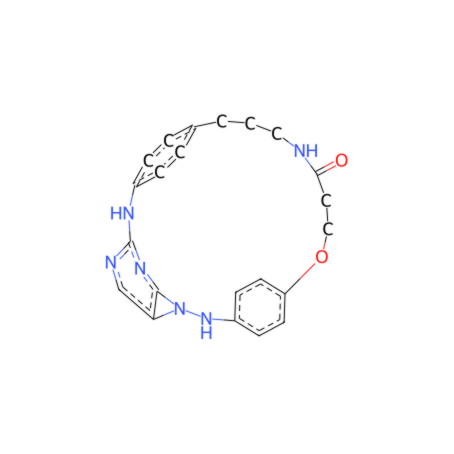 O=C1CCOc2ccc(cc2)NN2c3cnc(nc32)Nc2ccc(cc2)CCCN1